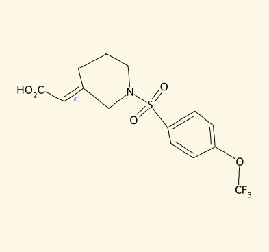 O=C(O)/C=C1\CCCN(S(=O)(=O)c2ccc(OC(F)(F)F)cc2)C1